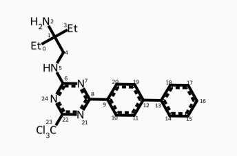 CCC(N)(CC)CNc1nc(-c2ccc(-c3ccccc3)cc2)nc(C(Cl)(Cl)Cl)n1